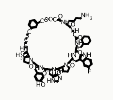 C[C@@]12CCCN1C(=O)[C@H](Cc1ccc(O)cc1)NC(=O)[C@H](Cc1cnc[nH]1)NC(=O)[C@@H]1CCCN1C(=O)[C@H](Cc1c[nH]c3ccc(F)cc13)NC(=O)[C@H](CC1CCCCC1)NC(=O)CNC(=O)[C@H](CCCCN)NC(=O)CCSCc1cccc(c1)CSCCNC2=O